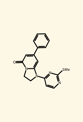 CSc1nccc(N2CCn3c2cc(-c2ccccc2)cc3=O)n1